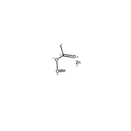 COOC(C)=O.[Zn]